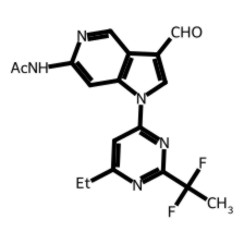 CCc1cc(-n2cc(C=O)c3cnc(NC(C)=O)cc32)nc(C(C)(F)F)n1